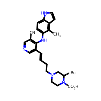 Cc1c(Nc2c(C#N)cncc2C=CCCN2CCN(C(=O)O)C(C(C)(C)C)C2)ccc2[nH]ccc12